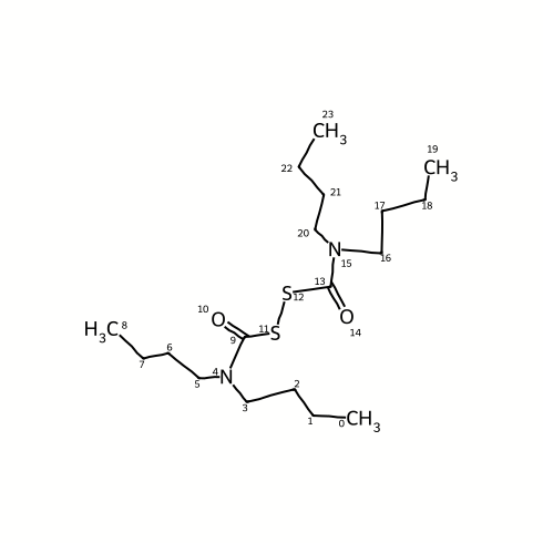 CCCCN(CCCC)C(=O)SSC(=O)N(CCCC)CCCC